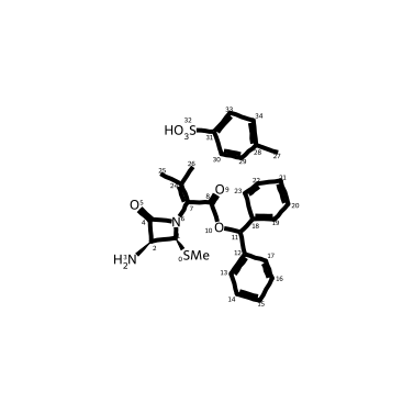 CS[C@H]1[C@@H](N)C(=O)N1C(C(=O)OC(c1ccccc1)c1ccccc1)=C(C)C.Cc1ccc(S(=O)(=O)O)cc1